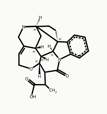 CC(C(=O)O)C1C(=O)N2c3ccccc3[C@@]34CCN5CC6=CCO[C@@H]1[C@@H]([C@H]23)[C@H]6C[C@@H]54